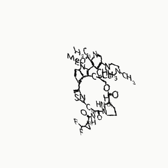 CCn1c(-c2cc(N3CCN(C)CC3)cnc2[C@H](C)OC)c2c3cc(ccc31)-c1csc(n1)C[C@H](NC(=O)[C@H]1CC1C(F)F)C(=O)N1CCC[C@H](N1)C(=O)OCC(C)(C)C2